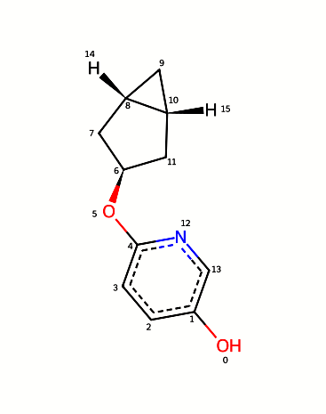 Oc1ccc(O[C@H]2C[C@@H]3C[C@@H]3C2)nc1